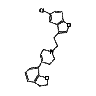 Clc1ccc2occ(CCN3CC=C(c4cccc5c4OCC5)CC3)c2c1